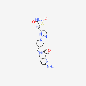 Nc1ccc(CNCC2CCN(c3nccc(/C=C4\SC(=O)NC4=O)n3)CC2)c(-c2ccoc2)n1